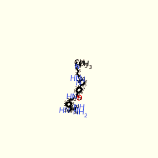 CCN(CC)CCCCNc1nccc(-c2ccc(C(=O)NCCc3ccc4[nH]cc(C(=N)N)c4c3)cc2)n1